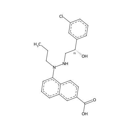 CCCN(NC[C@@H](O)c1cccc(Cl)c1)c1cccc2cc(C(=O)O)ccc12